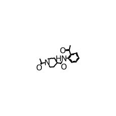 CC(=O)c1ccccc1NC(=O)C1CCN(C(C)=O)CC1